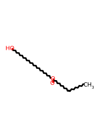 CCCCCCCC/C=C\CCCCCCCC(=O)OCCCCCCCCCCCCCCCCCCCCCCCO